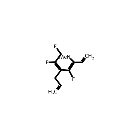 C=CCC(=C(\F)CF)/C(F)=C(/C=C)NC